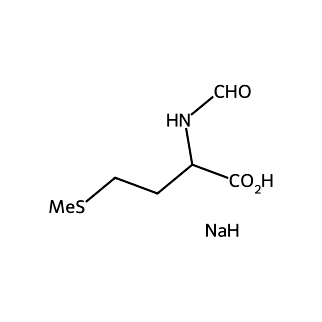 CSCCC(NC=O)C(=O)O.[NaH]